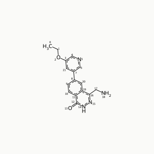 CCOc1cncc(-c2ccc3c(=O)[nH]nc(CN)c3c2)c1